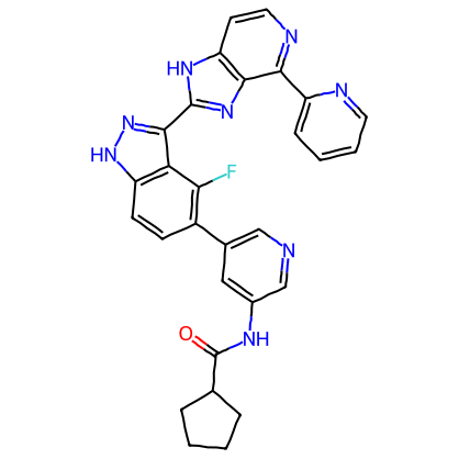 O=C(Nc1cncc(-c2ccc3[nH]nc(-c4nc5c(-c6ccccn6)nccc5[nH]4)c3c2F)c1)C1CCCC1